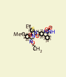 C=CCO/N=C(\Cn1c(=O)c2cc(CC)sc2n(Cc2ccc(-c3ccccc3-c3noc(=O)[nH]3)cc2)c1=O)c1ccc(OC)cc1